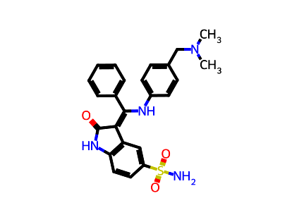 CN(C)Cc1ccc(NC(=C2C(=O)Nc3ccc(S(N)(=O)=O)cc32)c2ccccc2)cc1